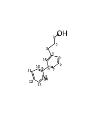 OCCCc1cccc(-c2ccccn2)c1